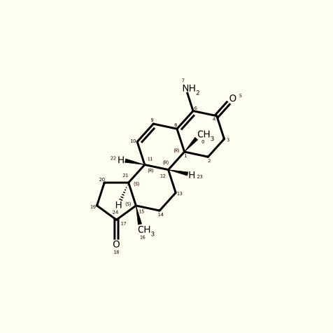 C[C@]12CCC(=O)C(N)=C1C=C[C@@H]1[C@H]2CC[C@]2(C)C(=O)CC[C@@H]12